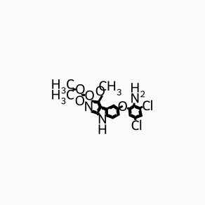 COCc1c(OC(=O)OC(C)C)ncc2[nH]c3ccc(Oc4cc(Cl)cc(Cl)c4N)cc3c12